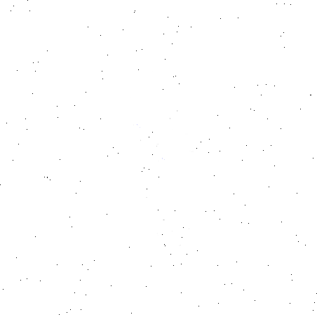 COC(=O)c1nc(C)c2nc(Oc3cccc(C(C)(C)C)c3)ccc2c1O